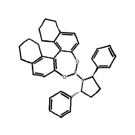 c1ccc([C@H]2CC[C@H](c3ccccc3)N2p2oc3ccc4c(c3c3c5c(ccc3o2)CCCC5)CCCC4)cc1